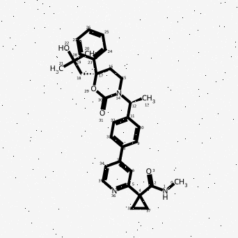 CNC(=O)C1(c2cc(-c3ccc([C@H](C)N4CC[C@](CC(C)(C)O)(c5ccccc5)OC4=O)cc3)ccn2)CC1